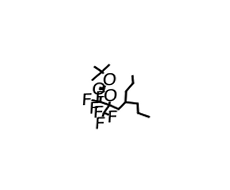 CCCC(CCC)CC(OC(=O)OC(C)(C)C)(C(F)(F)F)C(F)(F)F